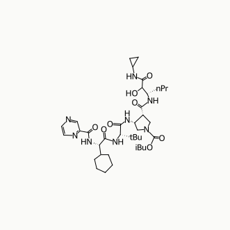 CCC[C@H](NC(=O)[C@@H]1CN(C(=O)OCC(C)C)C[C@@H]1NC(=O)[C@@H](NC(=O)[C@@H](NC(=O)c1cnccn1)C1CCCCC1)C(C)(C)C)C(O)C(=O)NC1CC1